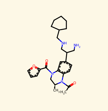 CC(=O)N1c2ccc(C(CN)CNCC3CCCCC3)cc2N(C(=O)c2ccco2)C[C@@H]1C